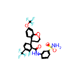 NS(=O)(=O)c1cccc(NC(=O)c2c(C3CCOc4cc(OC(F)(F)F)ccc43)ccc(C(F)(F)F)c2F)c1